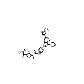 CN(C)C(=O)c1ccc(NC(=O)Nc2ccc(-c3nc(N4CCOCC4)c4ncc(-c5cnn(C)c5)cc4n3)cc2)cc1